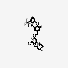 O=c1nc(OCc2cc(F)c(Oc3cccc(C(F)(F)F)c3)c(F)c2)cc2n1CC1COCCN21